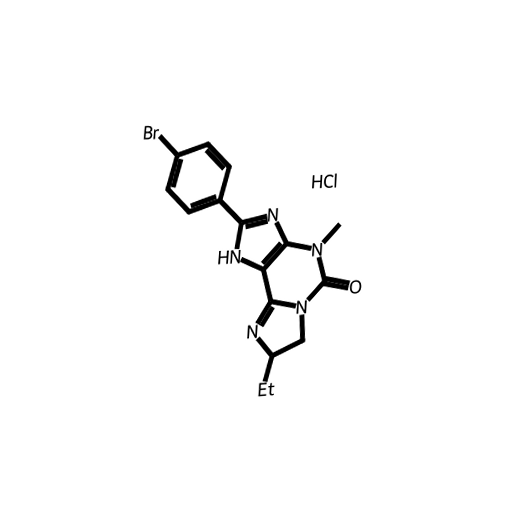 CCC1CN2C(=O)N(C)c3nc(-c4ccc(Br)cc4)[nH]c3C2=N1.Cl